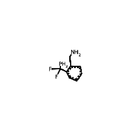 NCc1ccccc1C(F)(F)P